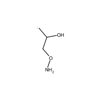 [CH2]C(O)CON